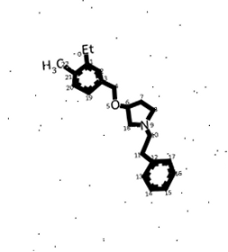 CCc1cc(COC2CCN(CCc3ccccc3)C2)ccc1C